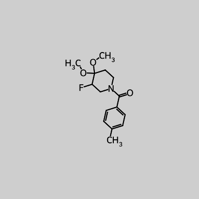 COC1(OC)CCN(C(=O)c2ccc(C)cc2)CC1F